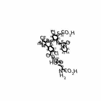 CC(C)OC(=O)c1cc(-c2nn(C)c(C(F)(F)F)c2Br)c(F)cc1Cl.CP(=O)(O)CCC(N)C(=O)O.O=C(O)CSc1cc(N=c2sc(=O)n3n2CCCC3)c(F)cc1Cl